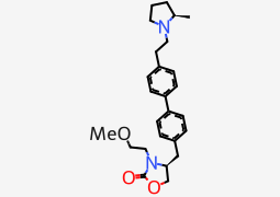 COCCN1C(=O)OC[C@@H]1Cc1ccc(-c2ccc(CCN3CCC[C@H]3C)cc2)cc1